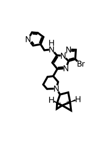 Brc1cnn2c(NCc3cccnc3)cc(C3CCCN(C4C[C@@H]5CC56C[C@H]46)C3)nc12